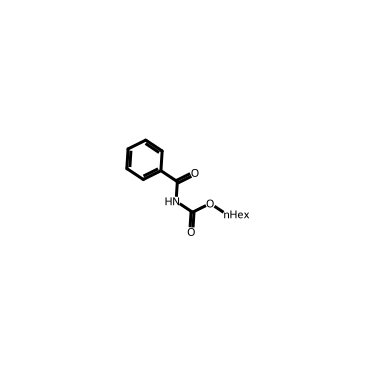 CCCCCCOC(=O)NC(=O)c1ccccc1